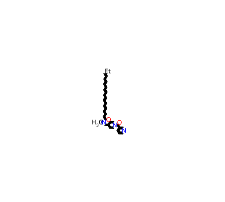 CCC=CCC=CCC=CCC=CCC=CCCCC(=O)N(C)CC1CCN(C(=O)c2cccnc2)CC1